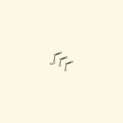 O=N[O-].O=N[O-].O=N[O-].[Gd+3]